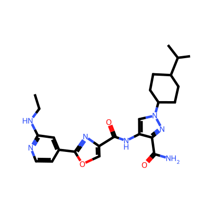 CCNc1cc(-c2nc(C(=O)Nc3cn(C4CCC(C(C)C)CC4)nc3C(N)=O)co2)ccn1